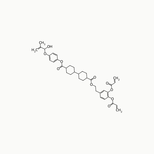 C=CC(=O)Oc1ccc(CCOC(=O)C2CCC(C3CCC(C(=O)Oc4ccc(OC(O)C(=C)C)cc4)CC3)CC2)cc1OC(=O)C=C